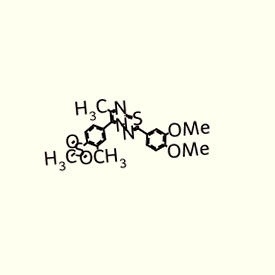 COc1ccc(-c2nn3c(-c4ccc(S(C)(=O)=O)c(C)c4)c(C)nc3s2)cc1OC